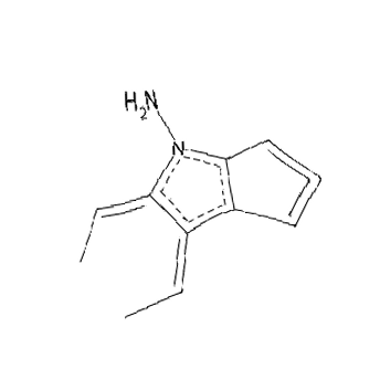 C/C=c1/c2c(n(N)/c1=C/C)C=C=C2